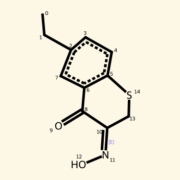 CCc1ccc2c(c1)C(=O)/C(=N\O)CS2